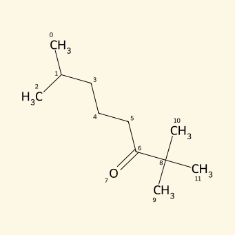 CC(C)CCCC(=O)C(C)(C)C